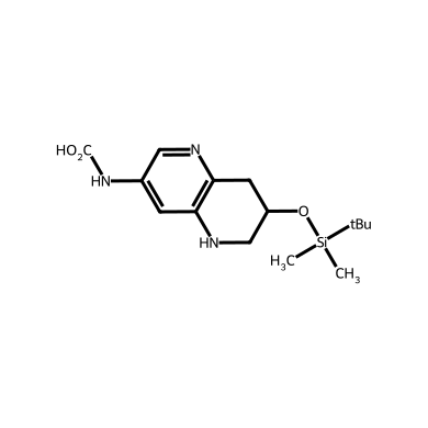 CC(C)(C)[Si](C)(C)OC1CNc2cc(NC(=O)O)cnc2C1